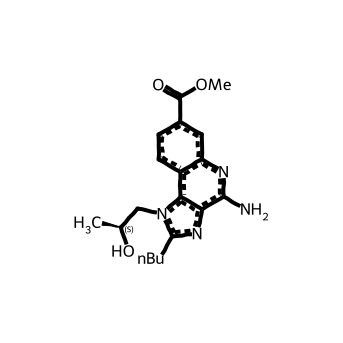 CCCCc1nc2c(N)nc3cc(C(=O)OC)ccc3c2n1C[C@H](C)O